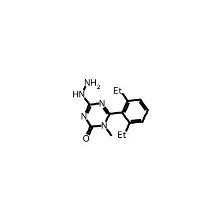 CCc1cccc(CC)c1-c1nc(NN)nc(=O)n1C